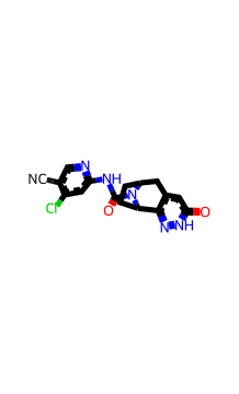 N#Cc1cnc(NC(=O)N2C3CCC2c2n[nH]c(=O)cc2C3)cc1Cl